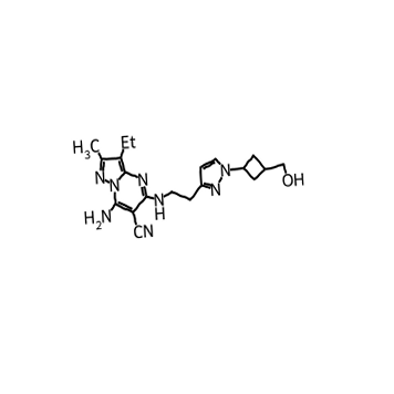 CCc1c(C)nn2c(N)c(C#N)c(NCCc3ccn(C4CC(CO)C4)n3)nc12